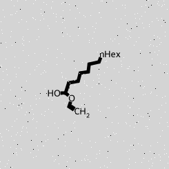 C=COC(O)CCCCCCCCCCCC